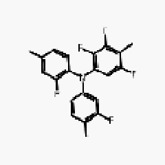 Cc1ccc(N(c2ccc(C)c(F)c2)c2cc(F)c(C)c(F)c2F)c(F)c1